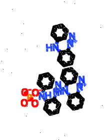 N#[N+]c1ccccc1Nc1ccccc1.N#[N+]c1ccccc1Nc1ccccc1.N#[N+]c1ccccc1Nc1ccccc1.O=P([O-])([O-])[O-]